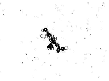 CC1(C)CCC(CN2CCN(c3ccc(C(=O)NS(=O)(=O)c4ccc(OCC5CCCC(=O)C5)c([N+](=O)[O-])c4)c(Oc4cnc5[nH]ccc5c4)c3)CC2)=C(c2ccc(Cl)cc2)C1